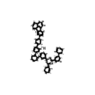 N#Cc1cc(-c2ccccc2-c2cccc(-c3nc(-c4ccccc4)nc(-c4cccc(-c5ccccc5)c4)n3)c2)ccc1-c1ccc(-c2ccc3c(c2)-c2cccc4cccc-3c24)cc1